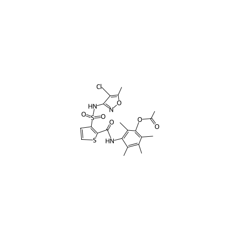 CC(=O)Oc1c(C)c(C)c(C)c(NC(=O)c2sccc2S(=O)(=O)Nc2noc(C)c2Cl)c1C